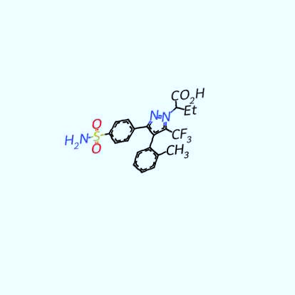 CCC(C(=O)O)n1nc(-c2ccc(S(N)(=O)=O)cc2)c(-c2ccccc2C)c1C(F)(F)F